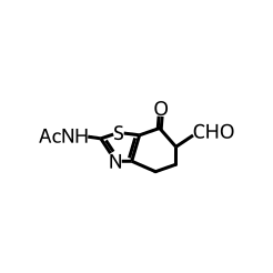 CC(=O)Nc1nc2c(s1)C(=O)C(C=O)CC2